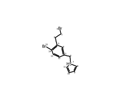 BrCCc1cc(C[SH]2C=CC=C2)ccc1Br